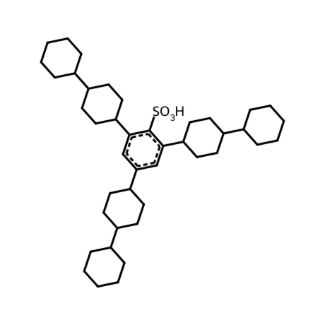 O=S(=O)(O)c1c(C2CCC(C3CCCCC3)CC2)cc(C2CCC(C3CCCCC3)CC2)cc1C1CCC(C2CCCCC2)CC1